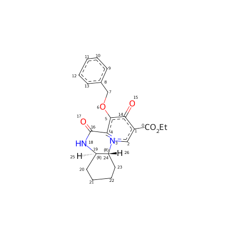 CCOC(=O)c1cn2c(c(OCc3ccccc3)c1=O)C(=O)N[C@@H]1CCCC[C@H]12